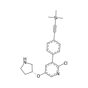 C[Si](C)(C)C#Cc1ccc(-c2cc(O[C@@H]3CCNC3)cnc2Cl)cc1